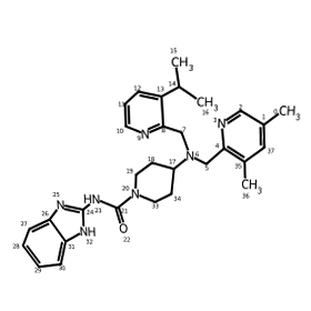 Cc1cnc(CN(Cc2ncccc2C(C)C)C2CCN(C(=O)Nc3nc4ccccc4[nH]3)CC2)c(C)c1